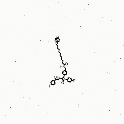 O=C(CCCCCCCCCCC[N+]12CCN(CC1)CC2)NCc1ccc(C2C(CCC(O)c3ccc(F)cc3)C(=O)N2c2ccc(F)cc2)cc1